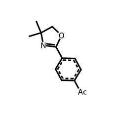 CC(=O)c1ccc(C2=NC(C)(C)CO2)cc1